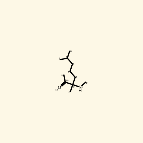 CNC(C)(CCCC(C)C)C(C)=O